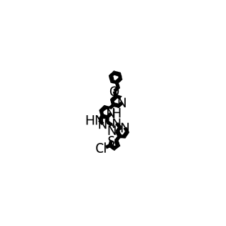 Clc1ccc(-c2ccnc3[nH]c(-c4n[nH]c5ccc(-c6cncc(OCc7ccccc7)c6)nc45)nc23)s1